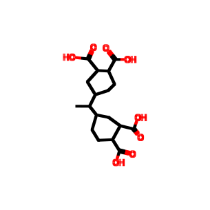 CC(C1CCC(C(=O)O)C(C(=O)O)C1)C1CCC(C(=O)O)C(C(=O)O)C1